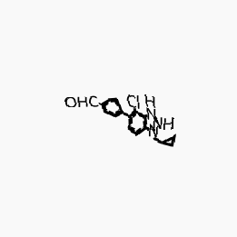 O=Cc1ccc(-c2ccc3c(c2Cl)NNN3CC2CC2)cc1